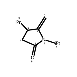 C=C1C(C(C)C)CC(=O)N1C(C)C